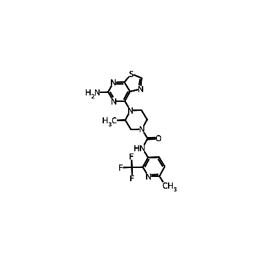 Cc1ccc(NC(=O)N2CCN(c3nc(N)nc4scnc34)C(C)C2)c(C(F)(F)F)n1